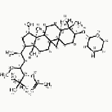 COC(C[C@@H](C)[C@H]1C[C@H](O)[C@@]2(C)C3CC[C@H]4C(C)(C)C(O[C@H]5CNCCO5)CCC45CC35CCC12C)[C@H](OC(C)=O)C(C)(C)O